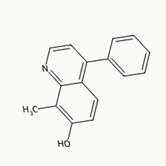 Cc1c(O)ccc2c(-c3ccccc3)ccnc12